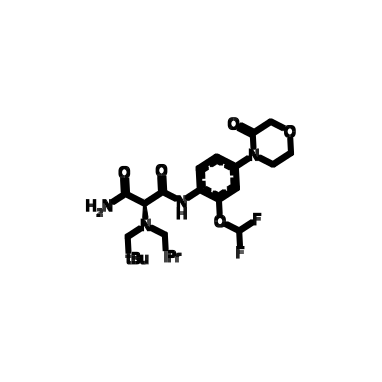 CC(C)CN(CC(C)(C)C)[C@@H](C(N)=O)C(=O)Nc1ccc(N2CCOCC2=O)cc1OC(F)F